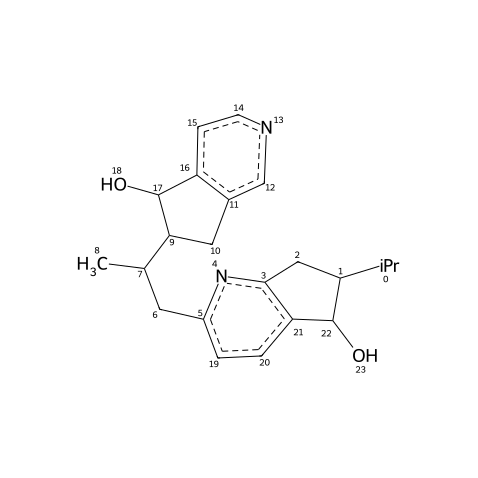 CC(C)C1Cc2nc(CC(C)C3Cc4cnccc4C3O)ccc2C1O